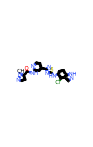 Cn1nccc1C(=O)Nc1cc(-c2nsc(Nc3ccc4[nH]ncc4c3Cl)n2)ccn1